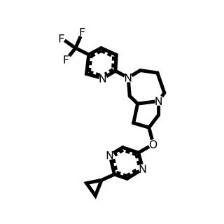 FC(F)(F)c1ccc(N2CCCN3CC(Oc4cnc(C5CC5)cn4)CC3C2)nc1